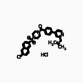 CN(C)Cc1cc(-c2ccc(C(=O)N3CCN(S(=O)(=O)c4ccc5cc(Cl)ccc5c4)CC3)cc2)ccn1.Cl